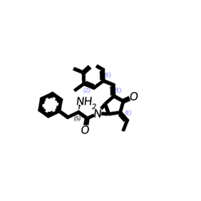 C=C(C)\C(C)=C/C(=C\C)/C=C1/C(=O)/C(=C/C)C2C1N2C(=O)[C@@H](N)Cc1ccccc1